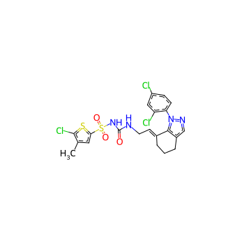 Cc1cc(S(=O)(=O)NC(=O)NCC=C2CCCc3cnn(-c4ccc(Cl)cc4Cl)c32)sc1Cl